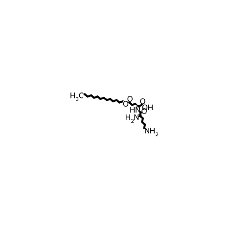 CCCCCCCCCCCCCCOC(=O)CC[C@H](NC(=O)[C@@H](N)CCCCN)C(=O)O